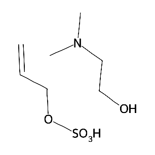 C=CCOS(=O)(=O)O.CN(C)CCO